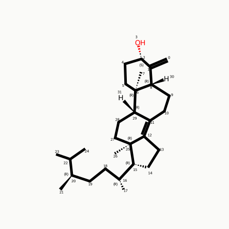 C=C1[C@@H](O)CC[C@@]2(C)[C@H]1CCC1=C3CC[C@H]([C@H](C)CC[C@@H](C)C(C)C)[C@@]3(C)CC[C@@H]12